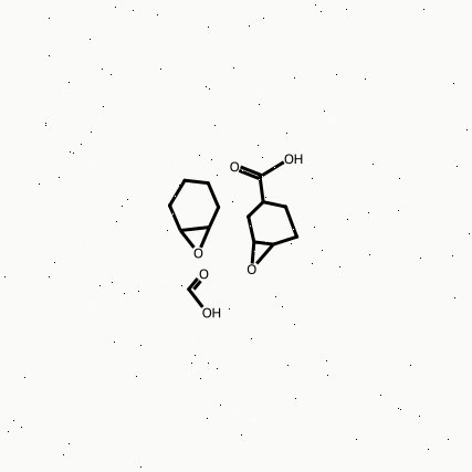 C1CCC2OC2C1.O=C(O)C1CCC2OC2C1.O=CO